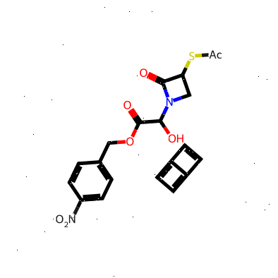 CC(=O)SC1CN(C(O)C(=O)OCc2ccc([N+](=O)[O-])cc2)C1=O.c1cc2ccc1-2